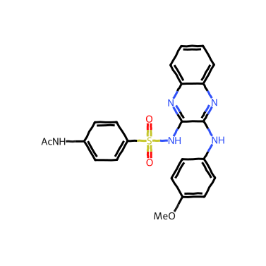 COc1ccc(Nc2nc3ccccc3nc2NS(=O)(=O)c2ccc(NC(C)=O)cc2)cc1